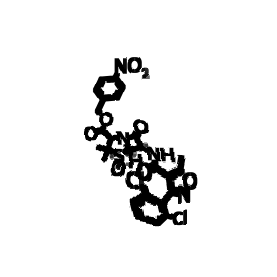 Cc1onc(-c2c(Cl)cccc2Cl)c1C(=O)N[C@@H]1C(=O)N2C(C(=O)OCc3ccc([N+](=O)[O-])cc3)C(C)(C)[S@+]([O-])[C@H]12